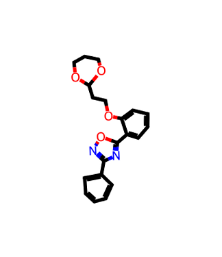 c1ccc(-c2noc(-c3ccccc3OCCC3OCCCO3)n2)cc1